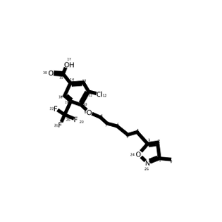 Cc1cc(CCCCCOc2c(Cl)cc(C(=O)O)cc2C(F)(F)F)on1